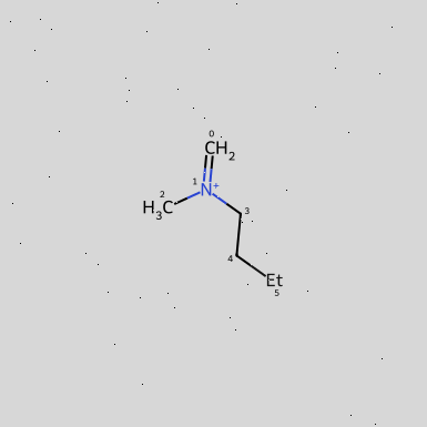 C=[N+](C)CCCC